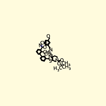 C/N=C(\Oc1ccc(C=O)cc1C#N)c1cccc(-c2cccc(-c3nc4c(s3)CN(C(=O)OC(C)(C)C)CC4)c2C)c1C